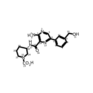 Nc1ncc(-c2cccc(CO)c2)nc1C(=O)N[C@H]1CCCN(C(=O)O)C1